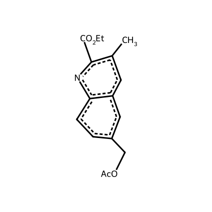 CCOC(=O)c1nc2ccc(COC(C)=O)cc2cc1C